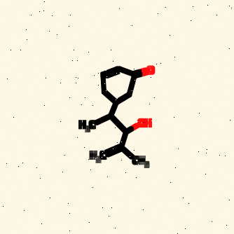 C=C(C)C(O)C(C)C1CC=CC(=O)C1